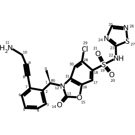 C[C@H](c1ccccc1C#CCN)n1c(=O)oc2cc(S(=O)(=O)Nc3ncns3)c(Cl)cc21